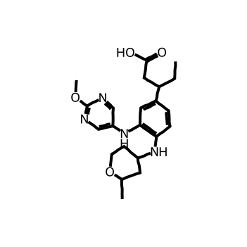 CCC(CC(=O)O)c1ccc(NC2CCOC(C)C2)c(Nc2cnc(OC)nc2)c1